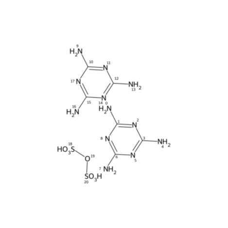 Nc1nc(N)nc(N)n1.Nc1nc(N)nc(N)n1.O=S(=O)(O)OS(=O)(=O)O